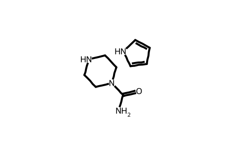 NC(=O)N1CCNCC1.c1cc[nH]c1